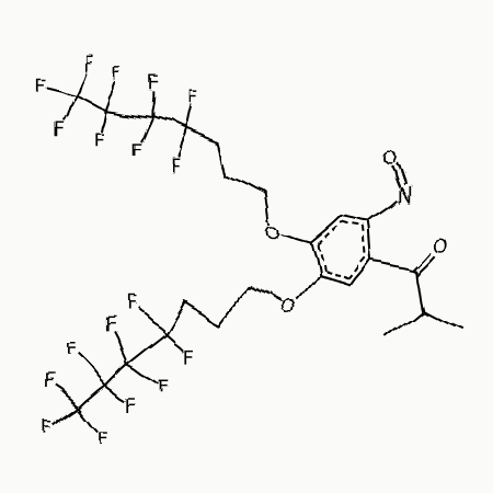 CC(C)C(=O)c1cc(OCCCC(F)(F)C(F)(F)C(F)(F)C(F)(F)F)c(OCCCC(F)(F)C(F)(F)C(F)(F)C(F)(F)F)cc1N=O